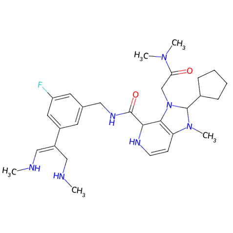 CN/C=C(\CNC)c1cc(F)cc(CNC(=O)C2NC=CC3=C2N(CC(=O)N(C)C)C(C2CCCC2)N3C)c1